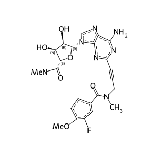 CNC(=O)[C@H]1O[C@@H](n2cnc3c(N)nc(C#CCN(C)C(=O)c4ccc(OC)c(F)c4)nc32)[C@H](O)[C@@H]1O